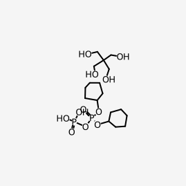 O=P(O)(O)OP(=O)(OC1CCCCC1)OC1CCCCC1.OCC(CO)(CO)CO